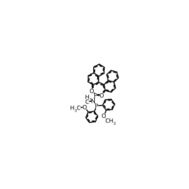 COc1ccccc1P(c1ccccc1OC)N(C)p1oc2ccc3ccccc3c2c2c(ccc3ccccc32)o1